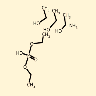 CCO.CCO.CCO.CCOP(=O)(O)OCC.N